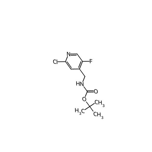 CC(C)(C)OC(=O)NCc1cc(Cl)ncc1F